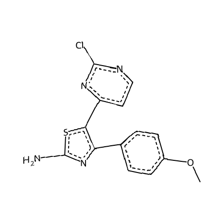 COc1ccc(-c2nc(N)sc2-c2ccnc(Cl)n2)cc1